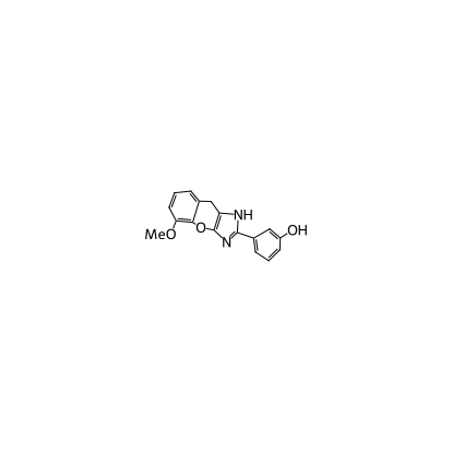 COc1cccc2c1Oc1nc(-c3cccc(O)c3)[nH]c1C2